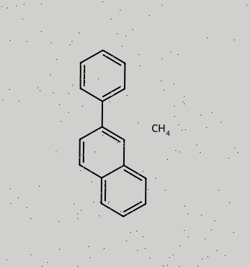 C.c1ccc(-c2ccc3ccccc3c2)cc1